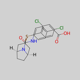 O=C(O)Cc1ccc(S[C@H]2C[C@H]3CC[C@@H](C2)N3C(=O)NCc2ccc(Cl)cc2Cl)cc1